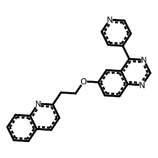 c1ccc2nc(CCOc3ccc4ncnc(-c5ccncc5)c4c3)ccc2c1